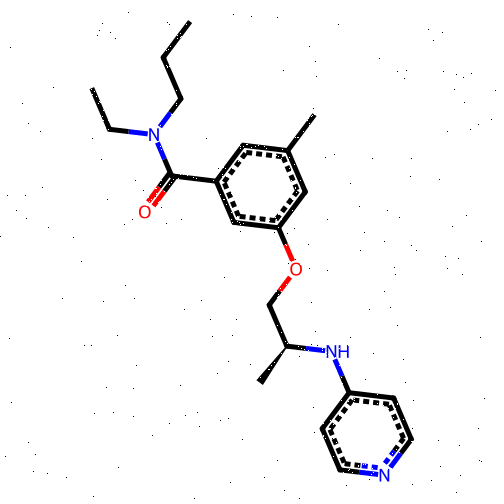 CCCN(CC)C(=O)c1cc(C)cc(OC[C@H](C)Nc2ccncc2)c1